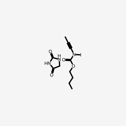 CC#CN(I)C(=O)OCCCC.O=C1CNC(=O)N1